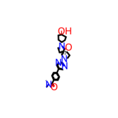 CN(C)C(=O)c1ccc(-c2cnc(N3CCC[C@@]4(CCN([C@H]5CC[C@H](O)CC5)C4=O)C3)nc2)cc1